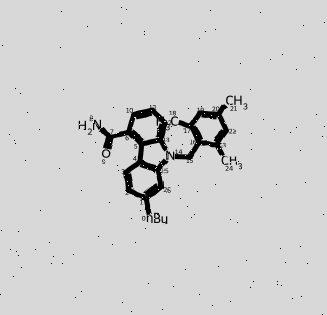 CCCCc1c[c]c2c3c(C(N)=O)cccc3n(Cc3c(C)cc(C)cc3C)c2c1